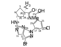 CNC(=O)[C@]1(C)CC[C@@H](Nc2ncc3c(Br)nn(-c4cc(Cl)cc(CO)c4)c3n2)C1